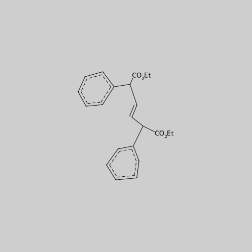 CCOC(=O)C(/C=C/C(C(=O)OCC)c1ccccc1)c1ccccc1